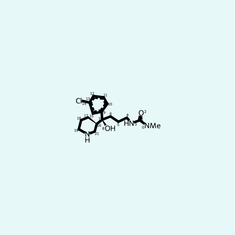 CNC(=O)NCCC[C@@](O)(c1cccc(Cl)c1)[C@@H]1CCCNC1